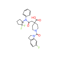 O=C(N1CCC(CC(=O)N(c2ccccc2)[C@@H]2CCCC2(F)F)(C(=O)O)CC1)N1CCc2ccc(F)cc21